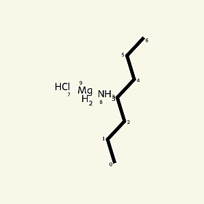 CCCCCCC.Cl.N.[MgH2]